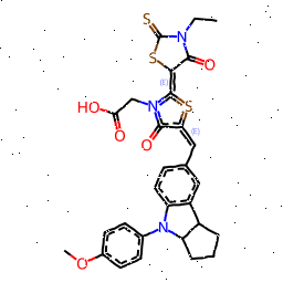 CCN1C(=O)/C(=c2\s/c(=C/c3ccc4c(c3)C3CCCC3N4c3ccc(OC)cc3)c(=O)n2CC(=O)O)SC1=S